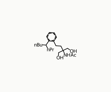 CCCCC(CCC)c1ccccc1CCC(CO)(CO)NC(C)=O